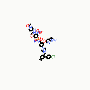 CC(=O)N1CCC([C@H]2COc3cc(S(=O)(=O)NC(=O)c4ccc(N5CCN(CC6=C(c7ccc(Cl)cc7)CC(C)(C)CC6)CC5)cc4Oc4cnc5[nH]ccc5c4)cc([N+](=O)[O-])c3N2)CC1